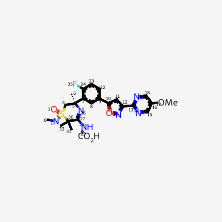 CN=S1(=O)C[C@@](C)(c2cc(-c3cc(-c4ncc(OC)cn4)no3)ccc2F)N=C(NC(=O)O)C1(C)C